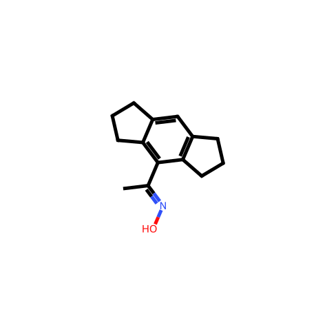 CC(=NO)c1c2c(cc3c1CCC3)CCC2